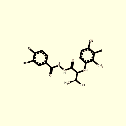 Cc1c(NC(C(=O)NNC(=O)c2ccc(F)c(O)c2)[C@H](C)O)ccc(C#N)c1I